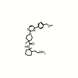 COCc1ccc(-c2ccnc(N3CCC(F)(C(=O)NC4(C)CCCCC4CCN)CC3)n2)cc1